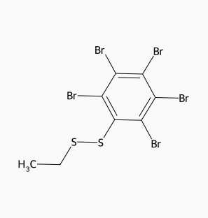 CCSSc1c(Br)c(Br)c(Br)c(Br)c1Br